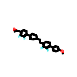 COc1ccc(-c2ccc(CCc3ccc(-c4ccc(C5CO5)c(F)c4F)cc3)c(F)c2F)cc1